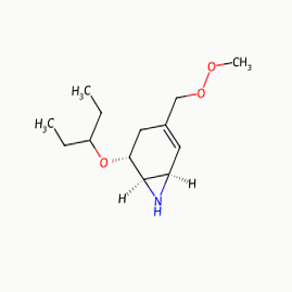 CCC(CC)O[C@@H]1CC(COOC)=C[C@H]2N[C@H]21